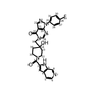 O=C(c1cc2ccncc2[nH]1)N1CCC(O)(Cn2cnc3c(cnn3-c3ccc(F)cc3)c2=O)CC1